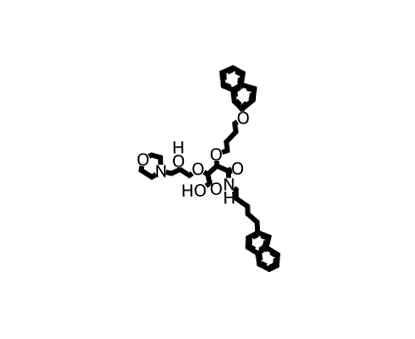 O=C(O)C(OCC(O)CN1CCOCC1)C(OCCCCOc1ccc2ccccc2c1)C(=O)NCCCCCc1ccc2ccccc2c1